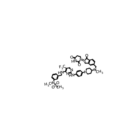 CN(Cc1ccc2c(c1)CN(N1CCC(=O)NC1=O)C2=O)C1CCN(c2ccc(Nc3ncc(C(F)(F)F)c(NCc4cccc(N(C)S(C)(=O)=O)c4)n3)cc2)CC1